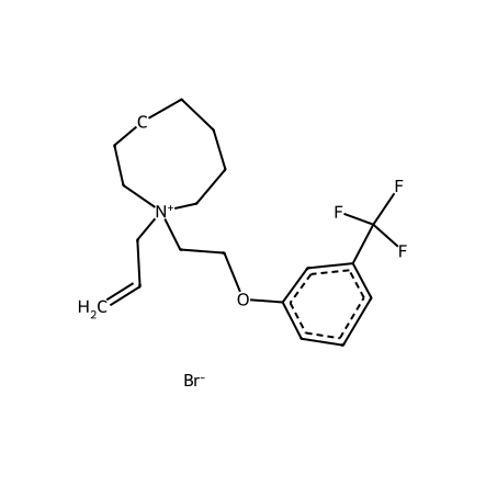 C=CC[N+]1(CCOc2cccc(C(F)(F)F)c2)CCCCCCC1.[Br-]